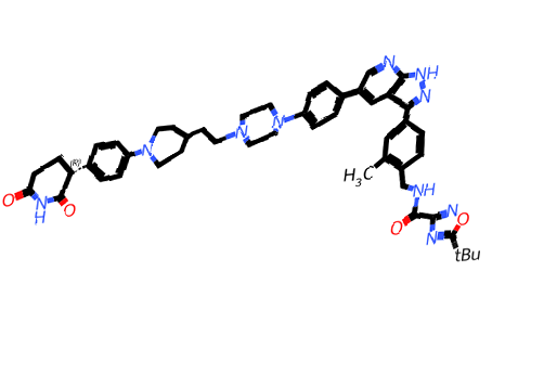 Cc1cc(-c2n[nH]c3ncc(-c4ccc(N5CCN(CCC6CCN(c7ccc([C@H]8CCC(=O)NC8=O)cc7)CC6)CC5)cc4)cc23)ccc1CNC(=O)c1noc(C(C)(C)C)n1